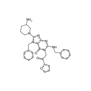 NC1CCCN(c2nc3nc(NCc4ccccc4)n(CC(=O)c4ccco4)c(=O)c3n2Cc2ccccc2)C1